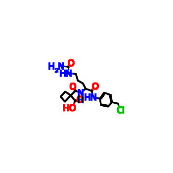 NC(=O)NCCCC(NC(=O)C1(C(=O)O)CCC1)C(=O)Nc1ccc(CCl)cc1